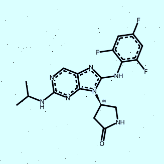 CC(C)Nc1ncc2nc(Nc3c(F)cc(F)cc3F)n([C@H]3CNC(=O)C3)c2n1